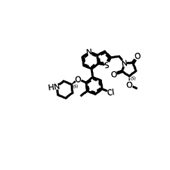 CO[C@H]1CC(=O)N(Cc2cc3nccc(-c4cc(Cl)cc(C)c4O[C@H]4CCCNC4)c3s2)C1=O